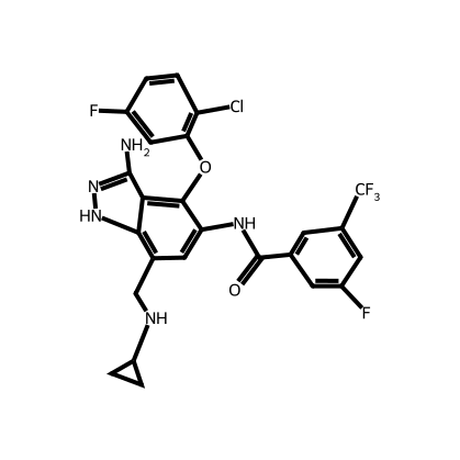 Nc1n[nH]c2c(CNC3CC3)cc(NC(=O)c3cc(F)cc(C(F)(F)F)c3)c(Oc3cc(F)ccc3Cl)c12